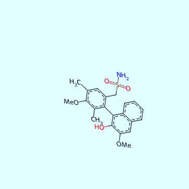 COc1cc2ccccc2c(-c2c(CS(N)(=O)=O)cc(C)c(OC)c2C)c1O